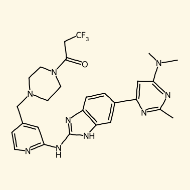 Cc1nc(-c2ccc3nc(Nc4cc(CN5CCN(C(=O)CC(F)(F)F)CC5)ccn4)[nH]c3c2)cc(N(C)C)n1